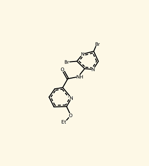 CCOc1cccc(C(=O)Nc2ncc(Br)nc2Br)n1